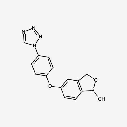 OB1OCc2cc(Oc3ccc(-n4cnnn4)cc3)ccc21